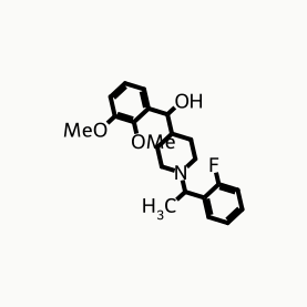 COc1cccc(C(O)C2CCN(C(C)c3ccccc3F)CC2)c1OC